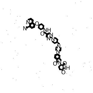 N#Cc1ccc(OC2CCC(NC(=O)c3cnc(N4CCC(CN5CCN(c6ccc7c(c6)CN(C6CCC(=O)NC6=O)C7=O)CC5)CC4)nc3)CC2)c2cccnc12